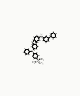 C[Si](C)(C)c1ccc(N(c2ccccc2)c2ccc3c(c2)sc2ccc(Nc4cccc(-c5ccccc5)c4)cc23)cc1